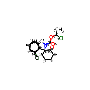 CC(Cl)OC(=O)N(C)[C@]1(c2ccccc2Cl)CCCCC1=O